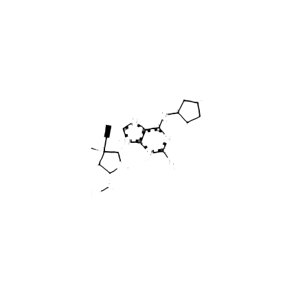 C#C[C@@]1(C)C[C@@H](CO)O[C@H]1n1cnc2c(NC3CCCC3)nc(N)nc21